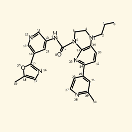 CCCN1CCN(C(=O)Nc2cncc(-c3ncc(C)o3)c2)c2nc(-c3ccnc(C)c3)ccc21